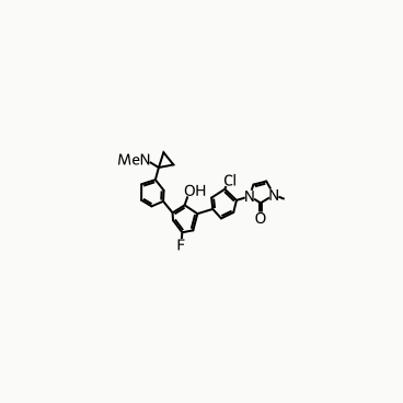 CNC1(c2cccc(-c3cc(F)cc(-c4ccc(-n5ccn(C)c5=O)c(Cl)c4)c3O)c2)CC1